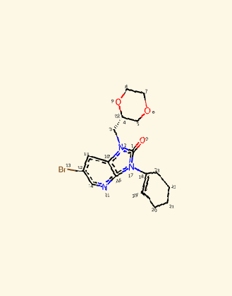 O=c1n(C[C@H]2COCCO2)c2cc(Br)cnc2n1C1=CCCCC1